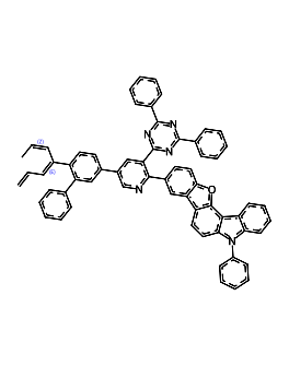 C=C/C=C(\C=C/C)c1ccc(-c2cnc(-c3ccc4oc5c(ccc6c5c5ccccc5n6-c5ccccc5)c4c3)c(-c3nc(-c4ccccc4)nc(-c4ccccc4)n3)c2)cc1-c1ccccc1